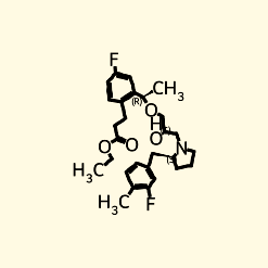 CCOC(=O)CCc1ccc(F)cc1[C@@H](C)OC[C@@H](O)CN1CCC[C@H]1Cc1ccc(C)c(F)c1